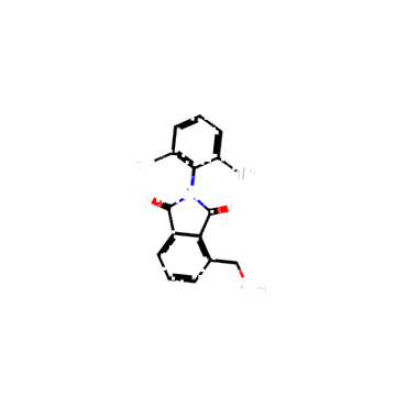 CCc1cccc(C(C)C)c1N1C(=O)c2cccc(CO)c2C1=O